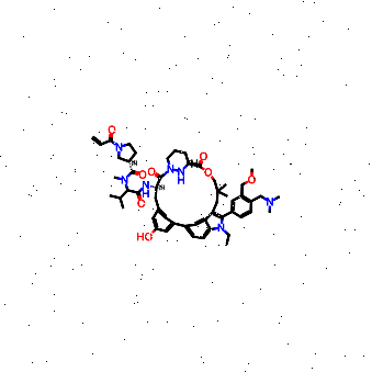 C=CC(=O)N1CC[C@H](C(=O)N(C)C(C(=O)N[C@H]2Cc3cc(O)cc(c3)-c3ccc4c(c3)c(c(-c3ccc(CN(C)C)c(COC)c3)n4CC)CC(C)(C)COC(=O)[C@@H]3CCCN(N3)C2=O)C(C)C)C1